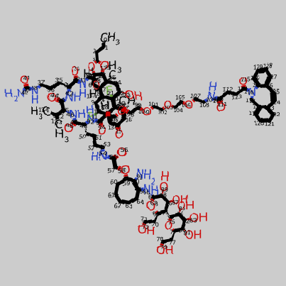 CCCC1O[C@@H]2C[C@H]3[C@@H]4C[C@H](F)C5=CC(=O)C=C[C@]5(C)[C@@]4(F)[C@@H](O)C[C@]3(C)[C@]2(C(=O)CNC(=O)[C@H](CCCNC(N)=O)NC(=O)[C@@H](NC(=O)[C@@H](CCCCNC(=O)COC2CCCCC/C(N[C@H]3O[C@H](CCO)C([C@H]4O[C@H](CCO)[C@@H](O)[C@H](O)[C@H]4O)[C@H](O)[C@H]3O)=C\2N)NC(=O)CCOCCOCCOCCOCCNC(=O)CCC(=O)N2Cc3ccccc3C#Cc3ccccc32)C(C)C)O1